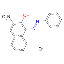 O=[N+]([O-])c1cc2ccccc2c(N=Nc2ccccc2)c1O.[Cr]